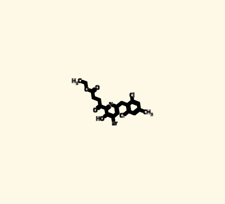 CCOC(=O)CCC(=O)c1nc(Cc2c(Cl)cc(C)cc2Cl)cc(Br)c1O